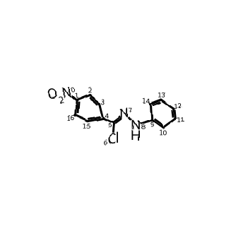 O=[N+]([O-])c1ccc(/C(Cl)=N/Nc2ccccc2)cc1